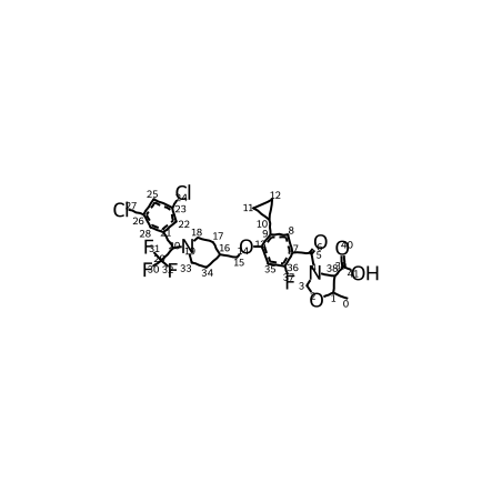 CC1OCN(C(=O)c2cc(C3CC3)c(OCC3CCN(C(c4cc(Cl)cc(Cl)c4)C(F)(F)F)CC3)cc2F)C1C(=O)O